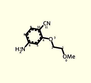 COCCOc1cc(N)ccc1C#N